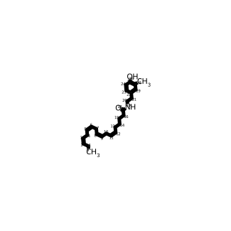 CC/C=C\C/C=C\C/C=C\C/C=C\CCCCC(=O)NCCc1ccc(O)c(C)c1